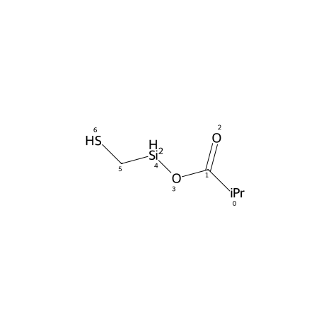 CC(C)C(=O)O[SiH2]CS